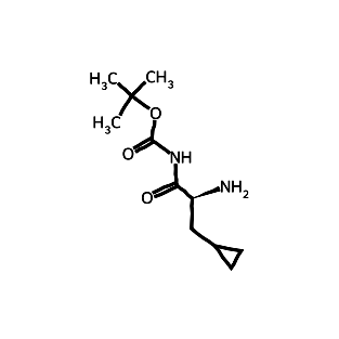 CC(C)(C)OC(=O)NC(=O)[C@@H](N)CC1CC1